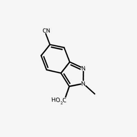 Cn1nc2cc(C#N)ccc2c1C(=O)O